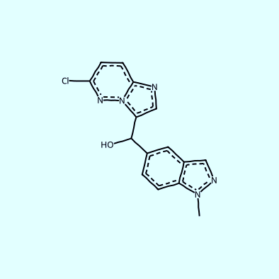 Cn1ncc2cc(C(O)c3cnc4ccc(Cl)nn34)ccc21